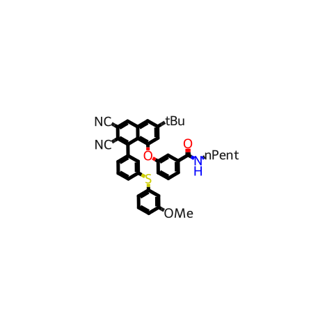 CCCCCNC(=O)c1cccc(Oc2cc(C(C)(C)C)cc3cc(C#N)c(C#N)c(-c4cccc(Sc5cccc(OC)c5)c4)c23)c1